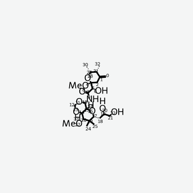 C=C1C[C@](OC)([C@H](O)C(=O)N[C@H]2OCO[C@H]3[C@@H]2O[C@H](C[C@H](O)CO)C(C)(C)[C@@H]3OC)O[C@H](C)[C@@H]1C